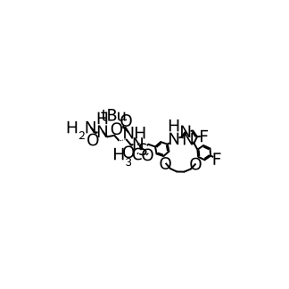 CC(C)(C)OC(=O)N[C@@H](CCCNC(N)=O)C(=O)N=[S@@](C)(=O)Cc1cc2cc(c1)OCCCCOc1cc(F)ccc1-c1nc(ncc1F)N2